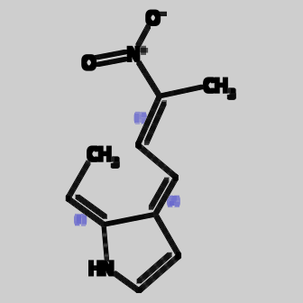 C/C=c1/[nH]cc/c1=C/C=C(\C)[N+](=O)[O-]